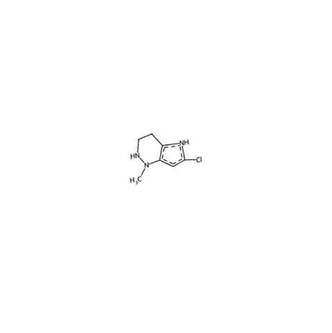 CN1NCCc2[nH]c(Cl)cc21